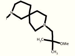 COC(C)(C)CN1CCC2(CCCN(I)C2)CC1